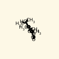 CCCC(O)(C#Cc1ccc(C(CC)(CC)c2ccc(OC[C@@H]3CCC(=O)O3)c(C)c2)cc1C)CCC